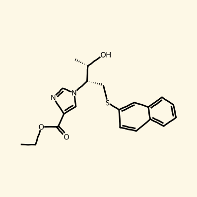 CCOC(=O)c1cn([C@@H](CSc2ccc3ccccc3c2)[C@H](C)O)cn1